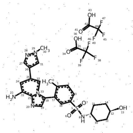 Cc1ccc(S(=O)(=O)N[C@H]2CC[C@H](O)CC2)cc1-c1cnc2c(N)cc(-c3cnn(C)c3)cn12.O=C(O)C(F)(F)F.O=C(O)C(F)(F)F